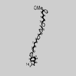 COC(=O)CCCCCOCCOCCOCCCCCCOc1ccc(CN)cc1